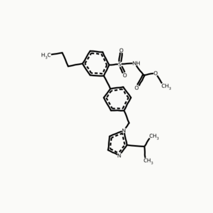 CCCc1ccc(S(=O)(=O)NC(=O)OC)c(-c2ccc(Cn3ccnc3C(C)C)cc2)c1